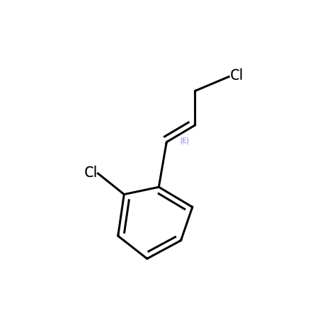 ClC/C=C/c1ccccc1Cl